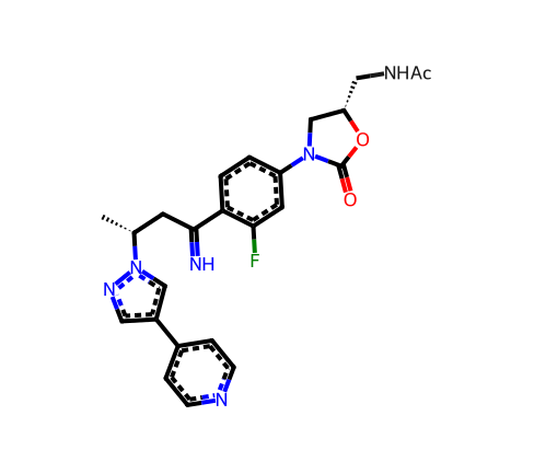 CC(=O)NC[C@H]1CN(c2ccc(C(=N)C[C@@H](C)n3cc(-c4ccncc4)cn3)c(F)c2)C(=O)O1